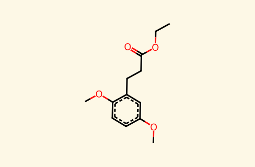 CCOC(=O)CCc1cc(OC)ccc1OC